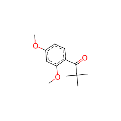 COc1ccc(C(=O)C(C)(C)C)c(OC)c1